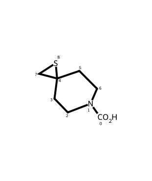 O=C(O)N1CCC2(CC1)CS2